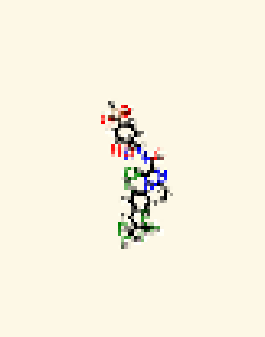 CCc1nc(C(=O)NC[C@]2(O)CC[C@@H](S(C)(=O)=O)CC2)c(Cl)n1-c1ccc(CC(C(F)(F)F)C(F)(F)F)cc1F